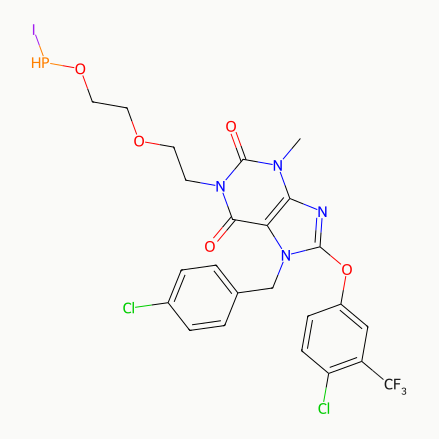 Cn1c(=O)n(CCOCCOPI)c(=O)c2c1nc(Oc1ccc(Cl)c(C(F)(F)F)c1)n2Cc1ccc(Cl)cc1